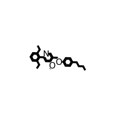 CCCCc1ccc(OCc2cnc(-c3c(CC)cccc3CC)cc2OC)cc1